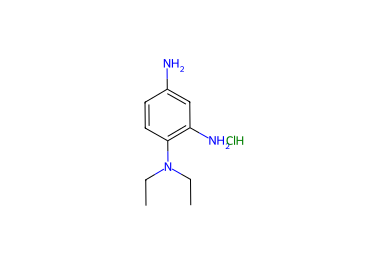 CCN(CC)c1ccc(N)cc1N.Cl